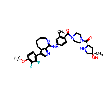 COc1ccc(C2=CN=C3/C(Nc4ccc(C(=O)N5CCN(C(=O)[C@@H]6C[C@@](C)(O)CN6)CC5)c(C)c4)=N\C=C/CCC23)c(F)c1F